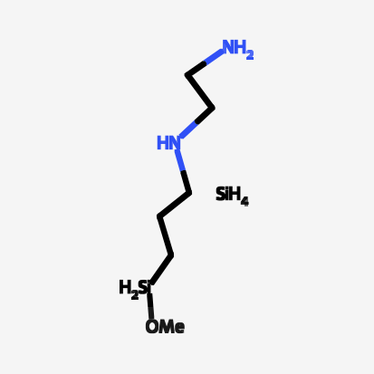 CO[SiH2]CCCNCCN.[SiH4]